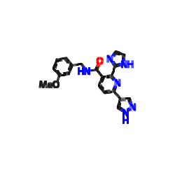 COc1cccc(CNC(=O)c2ccc(-c3cn[nH]c3)nc2-c2ncc[nH]2)c1